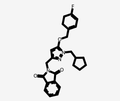 O=C1c2ccccc2C(=O)N1Cc1cc(OCC2=CC=C(F)CC2)n(CC2CCCC2)n1